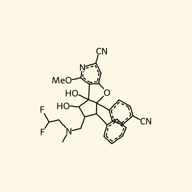 COc1nc(C#N)cc2c1C1(O)C(O)C(CN(C)CC(F)F)C(c3ccccc3)C1(c1ccc(C#N)cc1)O2